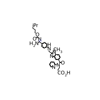 CC(C)CCCOC(=O)/N=C(\N)c1ccc(NCc2nc3cc(C(=O)N(CCC(=O)O)c4ccccn4)ccc3n2C)cc1